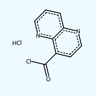 Cl.O=C(Cl)c1ccnc2cccnc12